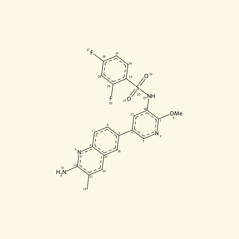 COc1ncc(-c2ccc3nc(N)c(C)cc3c2)cc1NS(=O)(=O)c1ccc(F)cc1F